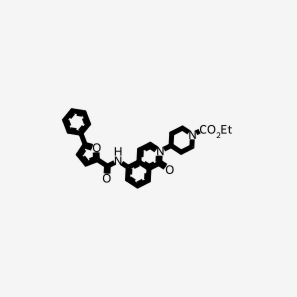 CCOC(=O)N1CCC(n2ccc3c(NC(=O)c4ccc(-c5ccccc5)o4)cccc3c2=O)CC1